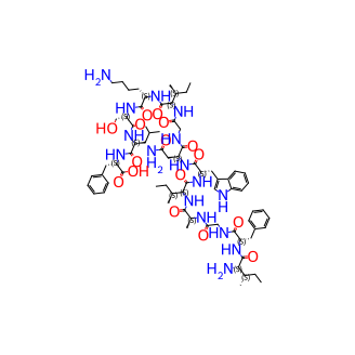 CC[C@H](C)[C@H](N)C(=O)N[C@@H](Cc1ccccc1)C(=O)NCC(=O)N[C@@H](C)C(=O)N[C@H](C(=O)N[C@@H](Cc1c[nH]c2ccccc12)C(=O)N[C@@H](CC(N)=O)C(=O)NCC(=O)N[C@H](C(=O)N[C@@H](CCCCN)C(=O)N[C@@H](CO)C(=O)N[C@@H](CC(C)C)C(=O)N[C@@H](Cc1ccccc1)C(=O)O)[C@@H](C)CC)[C@@H](C)CC